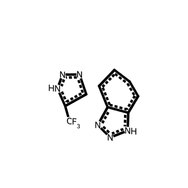 FC(F)(F)c1cnn[nH]1.c1ccc2[nH]nnc2c1